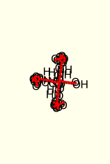 CC(=O)OCC1O[C@H](OCCCCC(=O)NCCCNC(=O)CCOCC(COCCC(=O)NCCCNC(=O)CCCCO[C@H]2OC(COC(C)=O)[C@@H](OC(C)=O)C(OC(C)=O)C2OC(C)=O)(COCCC(=O)NCCCNC(=O)CCCCO[C@H]2OC(COC(C)=O)[C@@H](OC(C)=O)C(OC(C)=O)C2OC(C)=O)NC(=O)CCCCCCCCCCC(=O)O)C(OC(C)=O)C(OC(C)=O)[C@@H]1OC(C)=O